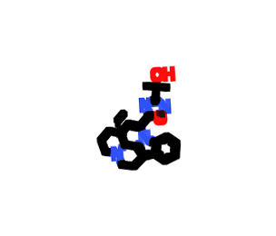 CC[C@@]12C=C(c3nc(C(C)(C)O)no3)n3c4c(c5ccccc53)CCN(CCC1)C42